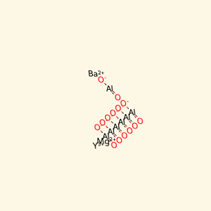 [Ba+2].[Mg+2].[O]=[Al][O-].[O]=[Al][O-].[O]=[Al][O-].[O]=[Al][O-].[O]=[Al][O-].[O]=[Al][O-].[O]=[Al][O-].[Y+3]